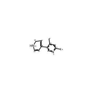 Cc1cc(I)ncc1C1=CCNC=C1